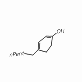 CCCCCCC1=CC=C(O)CC1